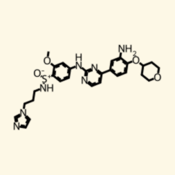 COc1cc(Nc2nccc(-c3ccc(OC4CCOCC4)c(N)c3)n2)ccc1[S+]([O-])NCCCn1ccnc1